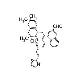 CC1(C)C=CC2=C(C1)CC(C)(C)c1c2ccc2ccc(/C=C/c3nccs3)cc12.O=Cc1ccc2ccccc2c1